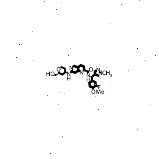 COc1ccc([C@H](NC(=O)c2ccc3cnc(N[C@@H]4CCO[C@H](CO)C4)cc3n2)c2cnn(C)c2)cc1F